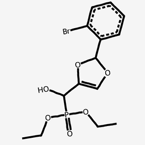 CCOP(=O)(OCC)C(O)C1=COC(c2ccccc2Br)O1